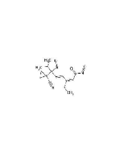 CCC(=C/C(=O)N=O)/C=C/C(N=O)(C(C)C)C1(C#N)CC1